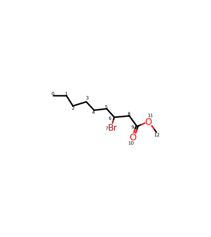 CCCCCCC(Br)CC(=O)OC